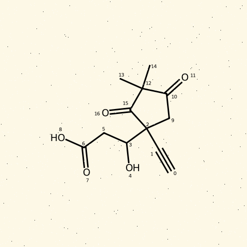 C#CC1(C(O)CC(=O)O)CC(=O)C(C)(C)C1=O